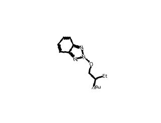 CCCCC(CC)COn1nc2ccccc2n1